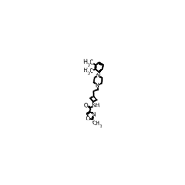 Cc1nc(C(=O)NC2CC(CCN3CCN(c4cccc(C)c4C)CC3)C2)co1